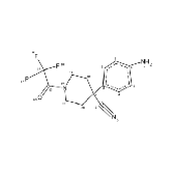 N#CC1(c2ccc(N)cc2)CCN(C(=O)C(F)(F)F)CC1